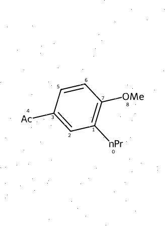 CCCc1cc(C(C)=O)ccc1OC